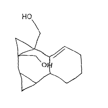 OCC12CC1(CO)C1CC1C1CCCC=C12